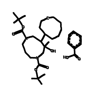 CC(C)(C)OC(=O)N1CCCN(C(=O)OC(C)(C)C)CC(C)(O)C(C2CCCCCCCC2)C1.O=C(O)c1ccccc1